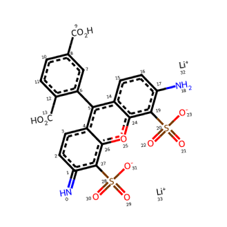 N=c1ccc2c(-c3cc(C(=O)O)ccc3C(=O)O)c3ccc(N)c(S(=O)(=O)[O-])c3oc-2c1S(=O)(=O)[O-].[Li+].[Li+]